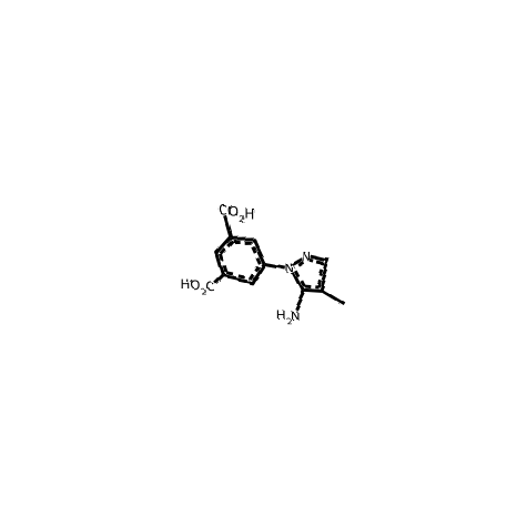 Cc1cnn(-c2cc(C(=O)O)cc(C(=O)O)c2)c1N